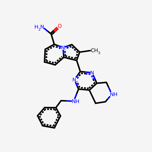 Cc1cn2c(C(N)=O)cccc2c1-c1nc2c(c(NCc3ccccc3)n1)CCNC2